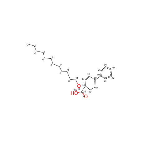 CCCCCCCCCCCCOC1(C(=O)O)C=CC(c2ccccc2)=CC1